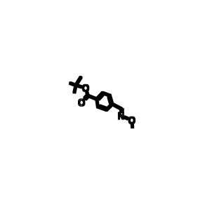 CON=Cc1ccc(C(=O)OC(C)(C)C)cc1